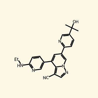 CCNc1ccc(-c2cc(-c3ccc(C(C)(C)O)cn3)cn3ncc(C#N)c23)cn1